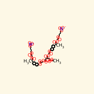 CCOC(=O)CC(O)(CC(=O)OCC(=O)Oc1ccc2ccc(C(C)C(=O)OCC(=O)OCCCCO[N+](=O)[O-])cc2c1)C(=O)OCC(=O)Oc1ccc2cc(C(C)C(=O)OCC(=O)OCCCCO[N+](=O)[O-])ccc2c1